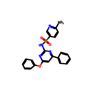 O=[N+]([O-])c1ccc(S(=O)(=O)Nc2nc(Oc3ccccc3)cc(-c3ccccc3)n2)cn1